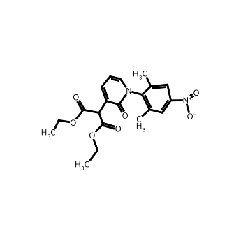 CCOC(=O)C(C(=O)OCC)c1cccn(-c2c(C)cc([N+](=O)[O-])cc2C)c1=O